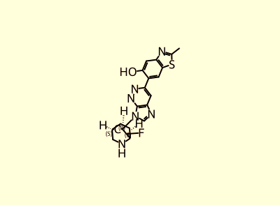 Cc1nc2cc(O)c(-c3cc4ncn([C@@H]5C[C@@H]6CCC(NC6)[C@@H]5F)c4nn3)cc2s1